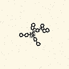 c1ccc(-c2ccc(-c3nc(-c4ccc(-c5ccccc5)cc4)nc(-n4c5ccc(-n6c7ccccc7c7c8ccccc8ccc76)cc5c5c6ccccc6ccc54)n3)cc2)cc1